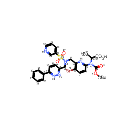 CC(C)(C)OC(=O)N(c1ccc(Br)c(CN(Cc2ccc(-c3ccccc3)nn2)S(=O)(=O)c2cccnc2)n1)C(C(=O)O)C(C)(C)C